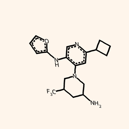 NC1CC(C(F)(F)F)CN(c2cc(C3CCC3)ncc2Nc2ccco2)C1